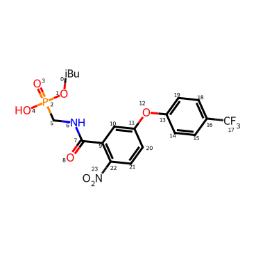 CCC(C)OP(=O)(O)CNC(=O)c1cc(Oc2ccc(C(F)(F)F)cc2)ccc1[N+](=O)[O-]